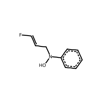 ON(C/C=C/F)c1ccccc1